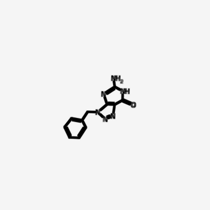 Nc1nc2c(nnn2Cc2ccccc2)c(=O)[nH]1